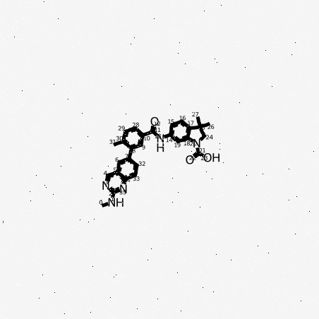 CNc1ncc2cc(-c3cc(C(=O)Nc4ccc5c(c4)N(C(=O)O)CC5(C)C)ccc3C)ccc2n1